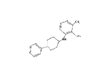 COc1c(NC2CCC(c3ccccc3)CC2)ccnc1C